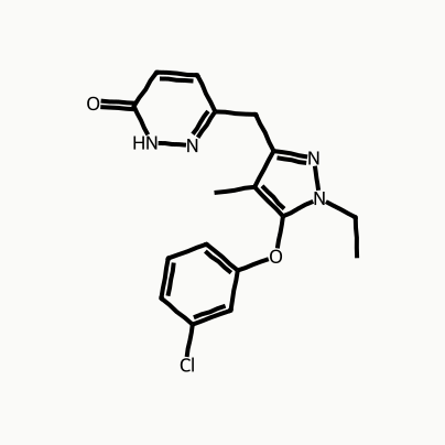 CCn1nc(Cc2ccc(=O)[nH]n2)c(C)c1Oc1cccc(Cl)c1